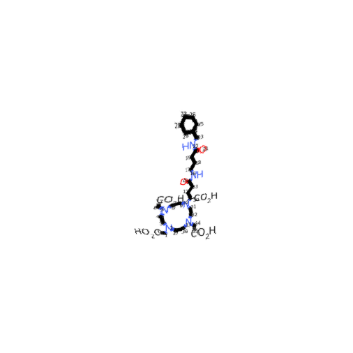 O=C(O)CN1CCN(CC(=O)O)CCN([C@H](CCC(=O)NCCCC(=O)NCC2CCCCC2)C(=O)O)CCN(CC(=O)O)CC1